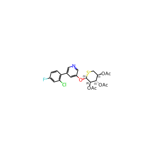 CC(=O)O[C@@H]1[C@@H](OC(C)=O)[C@@H](Oc2cncc(-c3ccc(F)cc3Cl)c2)SC[C@H]1OC(C)=O